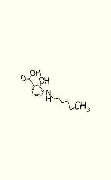 CCCCCCNc1cccc(C(=O)O)c1O